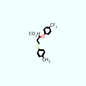 Cc1ccc(SCCC(Oc2ccc(C(F)(F)F)cc2)C(=O)O)cc1